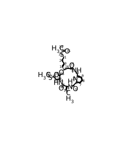 C/C=C1\NC(=O)c2cccc(n2)CNC(=O)C[C@@H](/C=C/CCSC(C)=O)OC(=O)C(CCSC)NC1=O